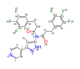 Cc1c(-c2ccncc2)n[nH]c1N(C(=O)CCc1cc(F)c(F)c(F)c1)C(=O)CCc1cc(F)c(F)c(F)c1